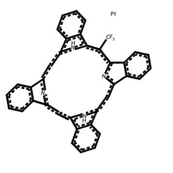 FC(F)(F)c1c2nc(cc3[nH]c(cc4nc(cc5[nH]c1c1ccccc51)-c1ccccc1-4)c1ccccc31)-c1ccccc1-2.[Pt]